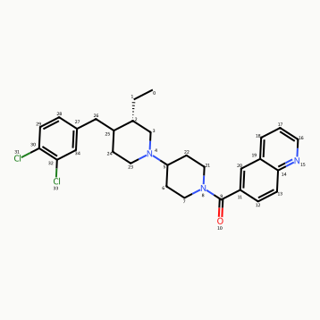 CC[C@@H]1CN(C2CCN(C(=O)c3ccc4ncccc4c3)CC2)CCC1Cc1ccc(Cl)c(Cl)c1